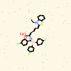 CCN1C(=CC=CC=C(N=C(B(c2ccc(F)cc2)c2ccc(F)cc2)c2ccc(F)cc2)C(=O)O)Sc2ccccc21